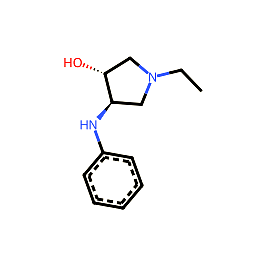 CCN1C[C@@H](O)[C@H](Nc2ccccc2)C1